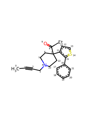 CC#CCN1CCC(C(=O)CC)(c2ccsc2-c2ccccc2)CC1